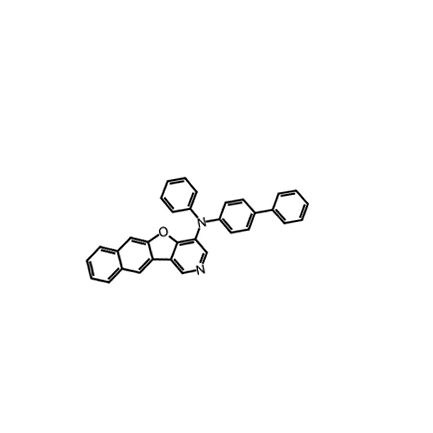 c1ccc(-c2ccc(N(c3ccccc3)c3cncc4c3oc3cc5ccccc5cc34)cc2)cc1